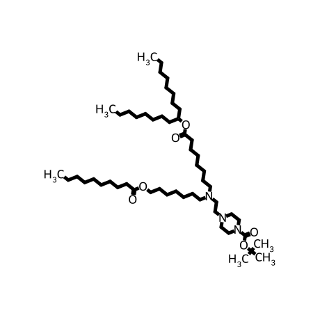 CCCCCCCCCC(=O)OCCCCCCCN(CCCCCCCC(=O)OC(CCCCCCCC)CCCCCCCC)CCN1CCN(C(=O)OC(C)(C)C)CC1